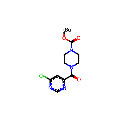 CC(C)(C)OC(=O)N1CCN(C(=O)c2cc(Cl)ncn2)CC1